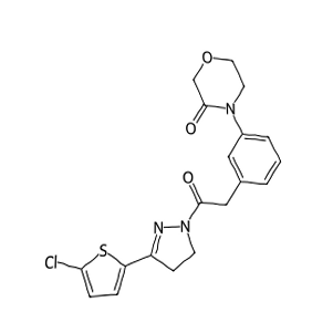 O=C(Cc1cccc(N2CCOCC2=O)c1)N1CCC(c2ccc(Cl)s2)=N1